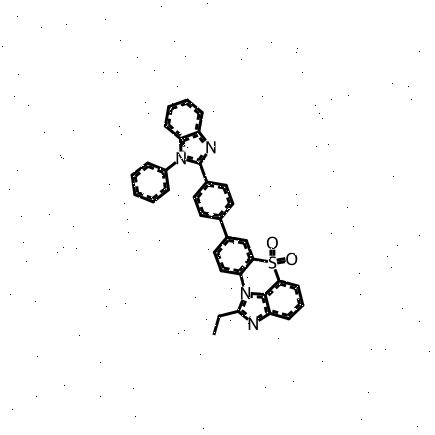 CCc1nc2cccc3c2n1-c1ccc(-c2ccc(-c4nc5ccccc5n4-c4ccccc4)cc2)cc1S3(=O)=O